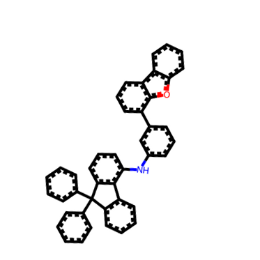 c1ccc(C2(c3ccccc3)c3ccccc3-c3c(Nc4cccc(-c5cccc6c5oc5ccccc56)c4)cccc32)cc1